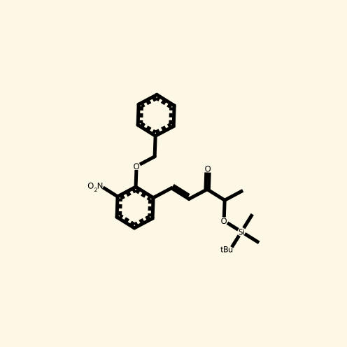 CC(O[Si](C)(C)C(C)(C)C)C(=O)C=Cc1cccc([N+](=O)[O-])c1OCc1ccccc1